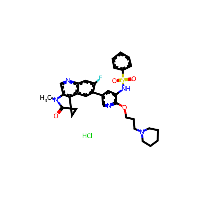 CN1C(=O)C2(CC2)c2c1cnc1cc(F)c(-c3cnc(OCCCN4CCCCC4)c(NS(=O)(=O)c4ccccc4)c3)cc21.Cl